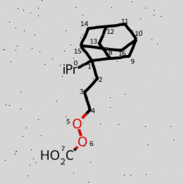 CC(C)C1(CCCOOC(=O)O)C2CC3CC(C2)CC1C3